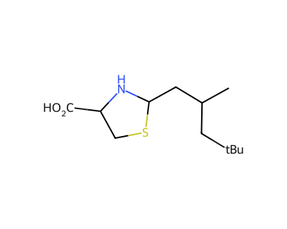 CC(CC1NC(C(=O)O)CS1)CC(C)(C)C